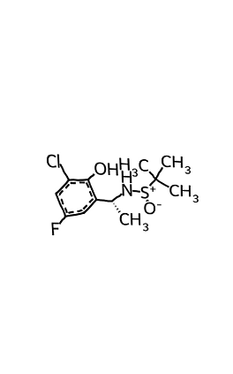 C[C@@H](N[S@+]([O-])C(C)(C)C)c1cc(F)cc(Cl)c1O